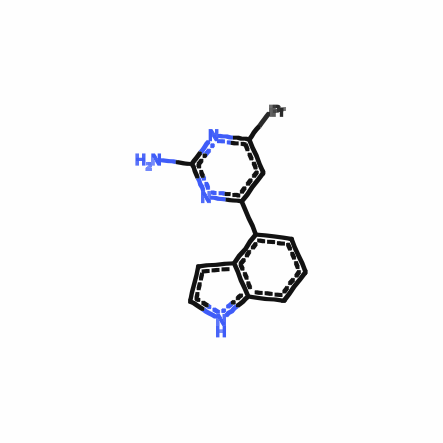 CC(C)c1cc(-c2cccc3[nH]ccc23)nc(N)n1